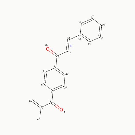 C=C(C)C(=O)c1ccc(C(=O)/C=C/c2ccccc2)cc1